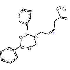 CC(=O)C/C=C\C[C@H]1CO[C@@H](c2ccccc2)O[C@H]1c1ccccc1